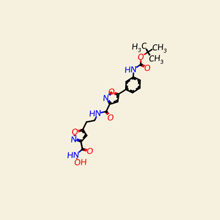 CC(C)(C)OC(=O)Nc1cccc(-c2cc(C(=O)NCCc3cc(C(=O)NO)no3)no2)c1